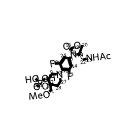 COCC1(OP(=O)(O)O)CCN(c2c(F)cc(N3C(=O)OC[C@@H]3CNC(C)=O)cc2F)CC1